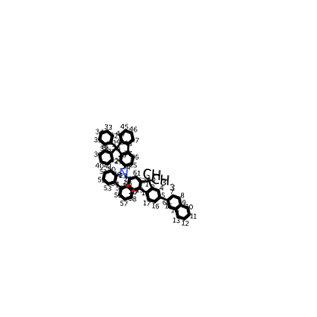 CC1(C)c2cc(-c3ccc4ccccc4c3)ccc2-c2ccc(N(c3ccc4c(c3)C(c3ccccc3)(c3ccccc3)c3ccccc3-4)c3ccccc3-c3ccccc3)cc21